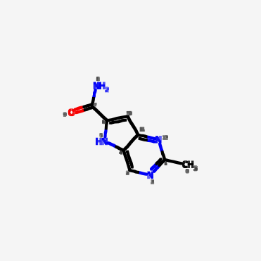 Cc1ncc2[nH]c(C(N)=O)cc2n1